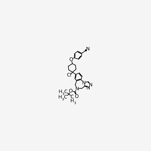 CC(C)(C)OC(=O)N1Cc2cc(C3(Cl)CCC(Oc4ccc(C#N)cc4)CC3)ccc2-n2cnnc2C1